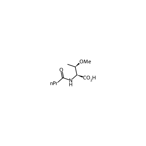 CCCC(=O)N[C@H](C(=O)O)[C@@H](C)OC